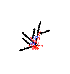 CCCCCCCCCCC[C@H](CC(=O)NC(=O)[C@@H](N)CO[C@@H]1O[C@H](CO)[C@@H](OP(=O)(O)O)[C@H](OC(=O)C[C@@H](CCCCCCCCCCC)OC(=O)CCCCCCCCC)[C@H]1NC(=O)C[C@@H](CCCCCCCCCCC)OC(=O)CCCCCCCCC)OC(=O)CCCCCCCCC